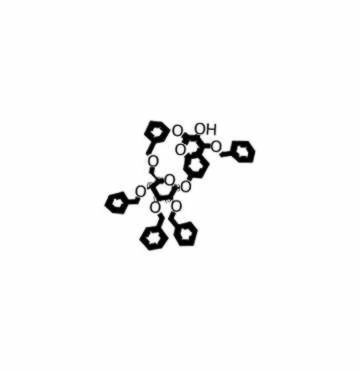 O=c1oc2cc(O[C@H]3O[C@H](COCc4ccccc4)[C@@H](OCc4ccccc4)[C@H](OCc4ccccc4)[C@@H]3OCc3ccccc3)ccc2c(OCc2ccccc2)c1O